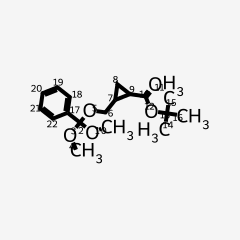 COC(OC)(OCC1CC1C(=O)OC(C)(C)C)c1ccccc1